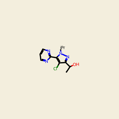 CC(O)c1nn(C(C)C)c(-c2ncccn2)c1Cl